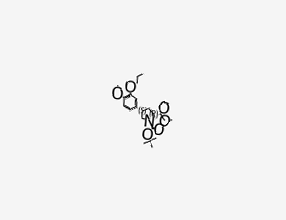 CCCOc1cc([C@@H]2C[C@H](C(=O)OC)N(C(=O)OC(C)(C)C)C2)ccc1OC